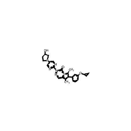 Cc1c(-c2cccc(OC3CC3)c2)c(C)n2c(=O)n(-c3ncc(N4CCC(O)C4)cn3)ncc12